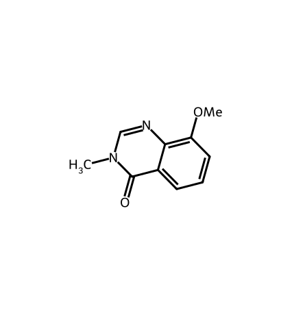 COc1cccc2c(=O)n(C)cnc12